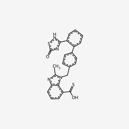 Cc1nc2cccc(C(O)=S)c2n1Cc1ccc(-c2ccccc2-c2nc(=O)s[nH]2)cc1